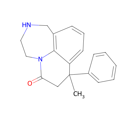 CC1(c2ccccc2)CC(=O)N2CCNCc3cccc1c32